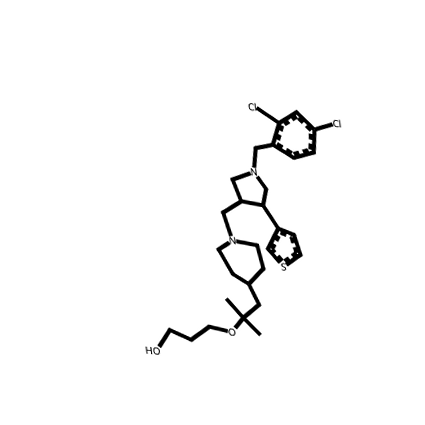 CC(C)(CC1CCN(CC2CN(Cc3ccc(Cl)cc3Cl)CC2c2ccsc2)CC1)OCCCO